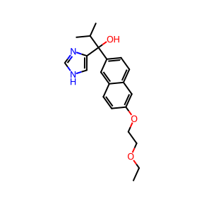 CCOCCOc1ccc2cc(C(O)(c3c[nH]cn3)C(C)C)ccc2c1